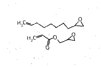 C=CC(=O)OCC1CO1.C=CCCCCCCC1CO1